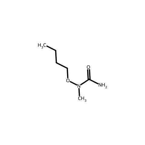 CCCCON(C)C(N)=O